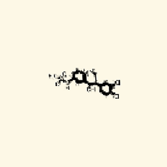 CNC[C@@H](c1ccc(Cl)c(Cl)c1)[C@@H](O)c1cccc(NS(=O)(=O)C(F)(F)F)c1